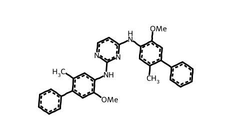 COc1cc(-c2ccccc2)c(C)cc1Nc1ccnc(Nc2cc(C)c(-c3ccccc3)cc2OC)n1